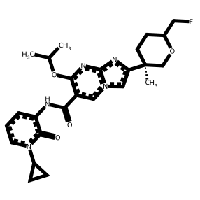 CC(C)Oc1nc2nc([C@@]3(C)CCC(CF)OC3)cn2cc1C(=O)Nc1cccn(C2CC2)c1=O